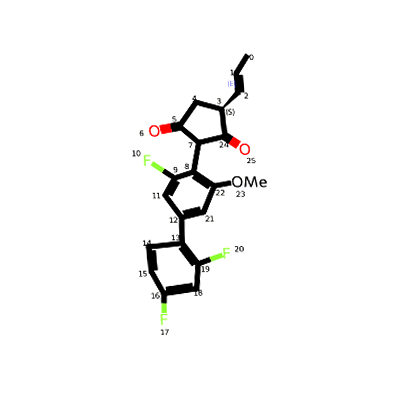 C/C=C/[C@@H]1CC(=O)C(c2c(F)cc(-c3ccc(F)cc3F)cc2OC)C1=O